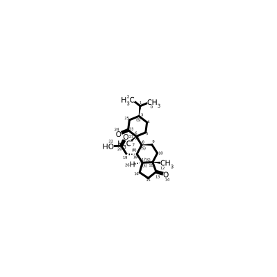 CC(C)[C@H]1CC[C@](C)([C@H]2CC[C@]3(C)C(=O)CC[C@H]3[C@@H]2CC(=O)O)C(=O)C1